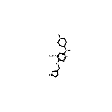 COc1cc(N(C)C2CCN(C)CC2)ncc1OCC1CCNC1